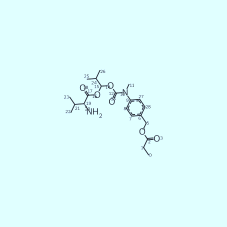 CCC(=O)OCc1ccc(N(C)C(=O)OC(OC(=O)[C@@H](N)C(C)C)C(C)C)cc1